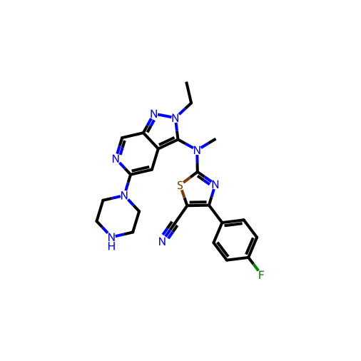 CCn1nc2cnc(N3CCNCC3)cc2c1N(C)c1nc(-c2ccc(F)cc2)c(C#N)s1